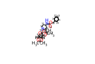 CC1(C)O[C@@H]2[C@@H](CO[C@@]3(CN4CCC(NC(=O)OCc5ccccc5)CC4)OC(C)(C)O[C@@H]23)O1